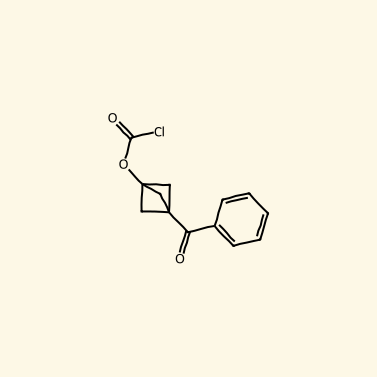 O=C(Cl)OC12CC(C(=O)c3ccccc3)(C1)C2